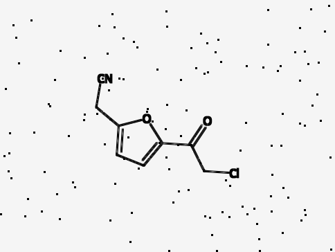 N#CCc1ccc(C(=O)CCl)o1